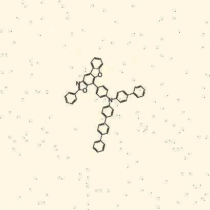 c1ccc(-c2ccc(-c3ccc(N(c4ccc(-c5ccccc5)cc4)c4ccc(-c5c6oc(-c7ccccc7)nc6cc6c5oc5ccccc56)cc4)cc3)cc2)cc1